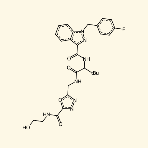 CC(C)(C)C(NC(=O)c1nn(Cc2ccc(F)cc2)c2ccccc12)C(=O)NCc1nnc(C(=O)NCCO)o1